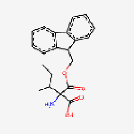 CCC(C)C(N)(C(=O)O)C(=O)OCC1c2ccccc2-c2ccccc21